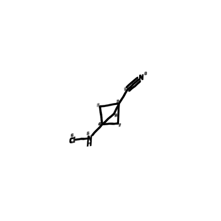 N#CC12CC(NCl)(C1)C2